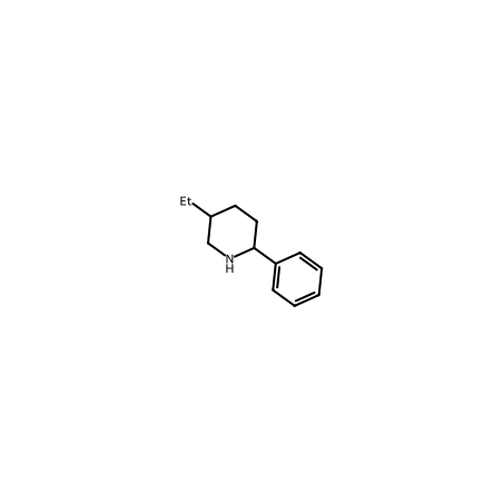 CCC1CCC(c2ccccc2)NC1